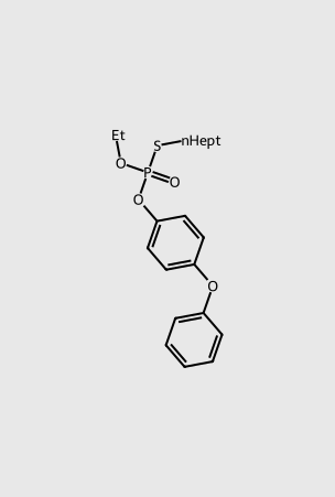 CCCCCCCSP(=O)(OCC)Oc1ccc(Oc2ccccc2)cc1